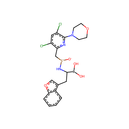 [O-][S+](Cc1nc(N2CCOCC2)c(Cl)cc1Cl)NC(Cc1coc2ccccc12)B(O)O